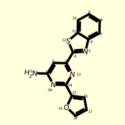 Nc1cc(-c2nc3ccccc3s2)nc(-c2ccco2)n1